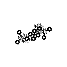 [2H]c1c([2H])c(-c2cccc(C3(c4cccc(-c5c([2H])c([2H])c([2H])c(-c6nc(-c7ccccc7)nc(-c7ccccc7)n6)c5[2H])c4)c4ccccc4-c4ccccc43)c2)c([2H])c(-c2nc(-c3ccccc3)nc(-c3ccccc3)n2)c1[2H]